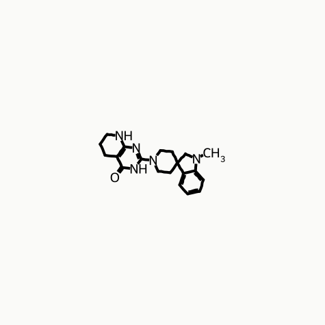 CN1CC2(CCN(c3nc4c(c(=O)[nH]3)CCCN4)CC2)c2ccccc21